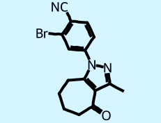 Cc1nn(-c2ccc(C#N)c(Br)c2)c2c1C(=O)CCCC2